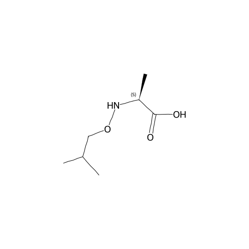 CC(C)CON[C@@H](C)C(=O)O